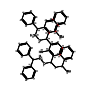 CC(C)(C)C(CC(O[SiH2]C(c1ccccc1)c1ccccc1)c1cccc(C(CC(c2ccccc2)C(C)(C)C)O[SiH2]C(c2ccccc2)c2ccccc2)c1O)c1ccccc1